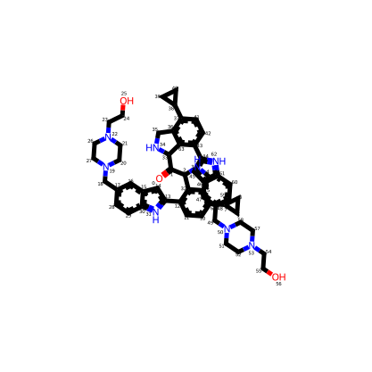 O=C(C1NCc2c(C3CC3)ccc(-c3cc4cc(CN5CCN(CCO)CC5)ccc4[nH]3)c21)C1NCc2c(C3CC3)ccc(-c3cc4cc(CN5CCN(CCO)CC5)ccc4[nH]3)c21